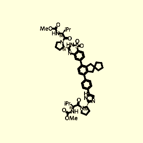 COC(=O)N[C@H](C(=O)N1CCC[C@H]1C1=Nc2cc(-c3ccc(-c4ccc(-c5cnc([C@@H]6CCCN6C(=O)[C@@H](NC(=O)OC)C(C)C)[nH]5)cc4)c4c3CC3(CCCC3)C4)ccc2S(=O)(=O)N1)C(C)C